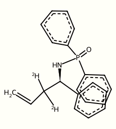 [2H]C([2H])(C=C)[C@@H](NP(=O)(c1ccccc1)c1ccccc1)c1ccccc1